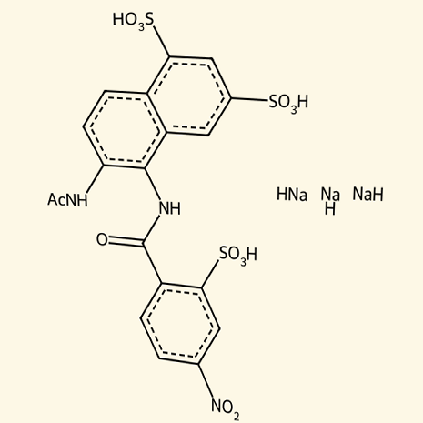 CC(=O)Nc1ccc2c(S(=O)(=O)O)cc(S(=O)(=O)O)cc2c1NC(=O)c1ccc([N+](=O)[O-])cc1S(=O)(=O)O.[NaH].[NaH].[NaH]